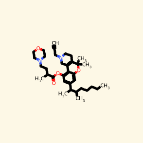 C#CCN1CCC2=C(C1)c1c(OC(=O)C(C)CCN3CCOCC3)cc(C(C)C(C)CCCCC)cc1OC2(C)C